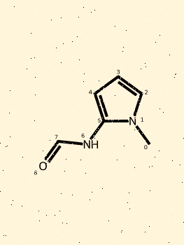 Cn1cccc1NC=O